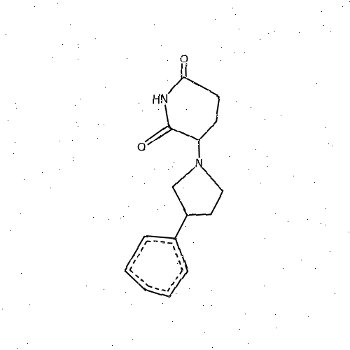 O=C1CCC(N2CCC(c3ccccc3)C2)C(=O)N1